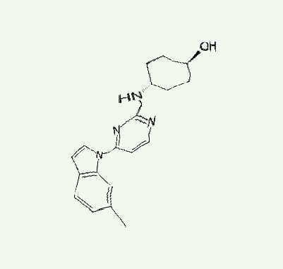 Cc1ccc2ccn(-c3ccnc(N[C@H]4CC[C@H](O)CC4)n3)c2c1